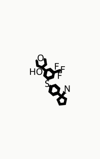 N#CC1(c2ccc(Sc3cc(C(F)(F)F)cc(C4(O)CCOCC4)c3)cc2)CCCC1